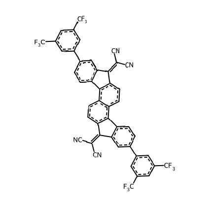 N#CC(C#N)=C1c2cc(-c3cc(C(F)(F)F)cc(C(F)(F)F)c3)ccc2-c2c1ccc1c3c(ccc21)C(=C(C#N)C#N)c1cc(-c2cc(C(F)(F)F)cc(C(F)(F)F)c2)ccc1-3